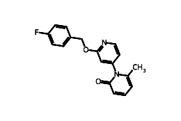 Cc1cccc(=O)n1-c1ccnc(OCc2ccc(F)cc2)c1